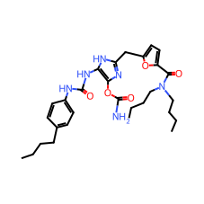 CCCCc1ccc(NC(=O)Nc2[nH]c(Cc3ccc(C(=O)N(CCCC)CCCC)o3)nc2OC(N)=O)cc1